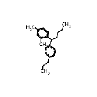 CCCCC(c1ccc(CCC)cc1)c1ccc(C)cc1C